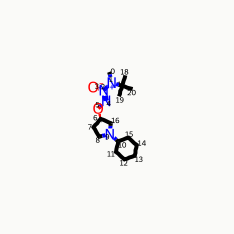 CN(/[N+]([O-])=N/O[C@@H]1CCN(C2CCCCC2)C1)C(C)(C)C